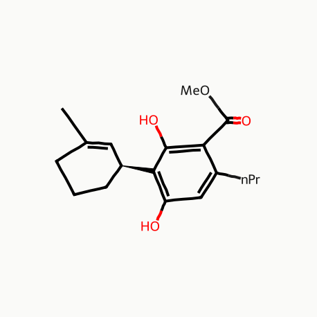 CCCc1cc(O)c([C@@H]2C=C(C)CCC2)c(O)c1C(=O)OC